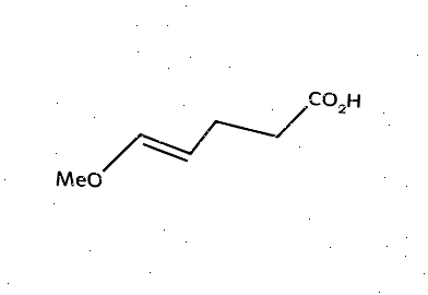 COC=CCCC(=O)O